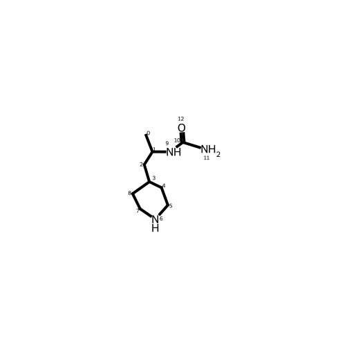 CC(CC1CCNCC1)NC(N)=O